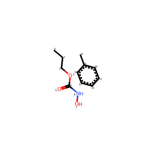 CCCOC(=O)NO.Cc1ccccc1